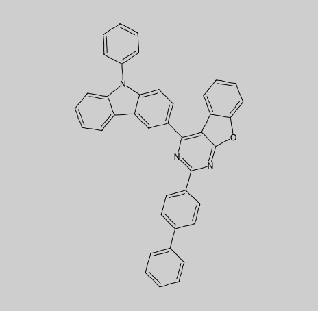 c1ccc(-c2ccc(-c3nc(-c4ccc5c(c4)c4ccccc4n5-c4ccccc4)c4c(n3)oc3ccccc34)cc2)cc1